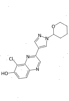 Oc1ccc2ncc(-c3cnn(C4CCCCO4)c3)nc2c1Cl